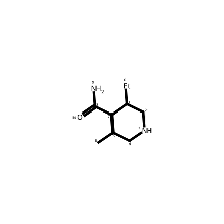 CCC1CNCC(C)C1C(N)=O